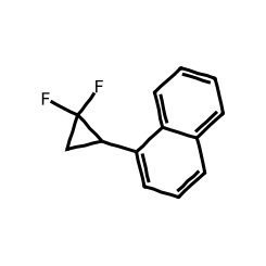 FC1(F)CC1c1cccc2ccccc12